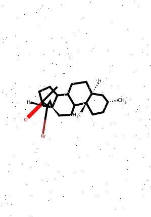 C[C@@H]1CC[C@]2(C)C3CC[C@]45C=C(Br)C(=O)[C@H]4CCC5C3CC[C@H]2C1